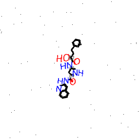 O=C(N[C@H]1CN[C@H](C(=O)Nc2cnc3ccccc3c2)C1)[C@H](O)CCc1ccccc1